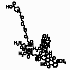 COc1cccc2c1C(=O)c1c(O)c3c(c(O)c1C2=O)C[C@@](O)(C(=O)NCCNC(=O)[C@H](C)NC(=O)[C@H](CC(N)=O)NC(=O)CCOCCOCCOCCOCCN1CCC(C(=O)O)CC1)C[C@@H]3O[C@H]1C[C@H]2[C@H](O[C@@H]3[C@@H](OC)OCCN32)[C@H](C)O1